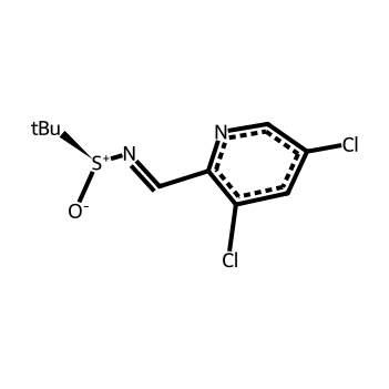 CC(C)(C)[S@+]([O-])N=Cc1ncc(Cl)cc1Cl